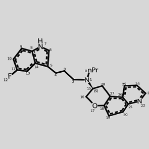 CCCN(CCCc1c[nH]c2ccc(F)cc12)[C@@H]1COc2ccc3ncccc3c2C1